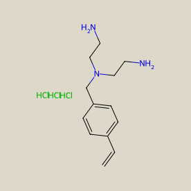 C=Cc1ccc(CN(CCN)CCN)cc1.Cl.Cl.Cl